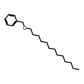 CCCCCCCCCCCCCOCc1ccccc1